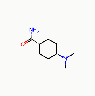 CN(C)[C@H]1CC[C@H](C(N)=O)CC1